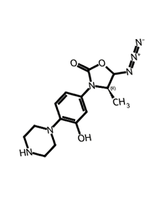 C[C@@H]1C(N=[N+]=[N-])OC(=O)N1c1ccc(N2CCNCC2)c(O)c1